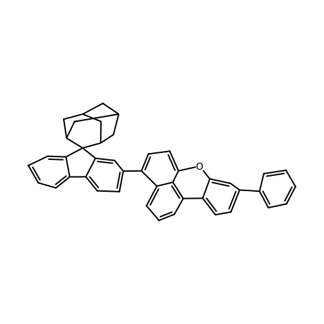 c1ccc(-c2ccc3c(c2)Oc2ccc(-c4ccc5c(c4)C4(c6ccccc6-5)C5CC6CC(C5)CC4C6)c4cccc-3c24)cc1